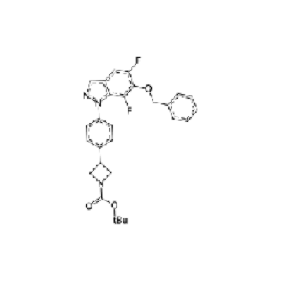 CC(C)(C)OC(=O)N1CC(c2ccc(-n3ncc4cc(F)c(OCc5ccccc5)c(F)c43)cc2)C1